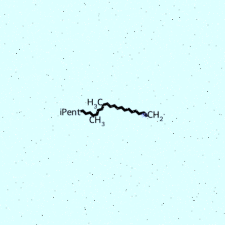 [CH2]/C=C/CCCCCCCCCCC(C)CCCC(C)CCCC(C)CC[CH2]